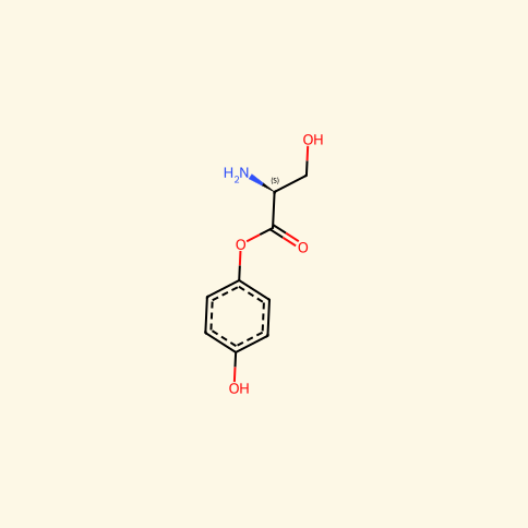 N[C@@H](CO)C(=O)Oc1ccc(O)cc1